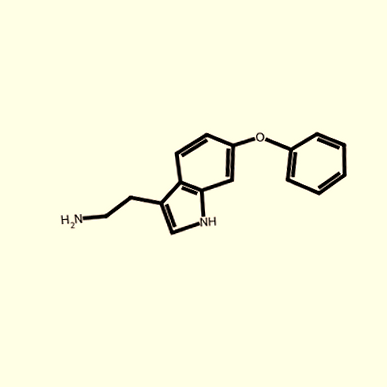 NCCc1c[nH]c2cc(Oc3ccccc3)ccc12